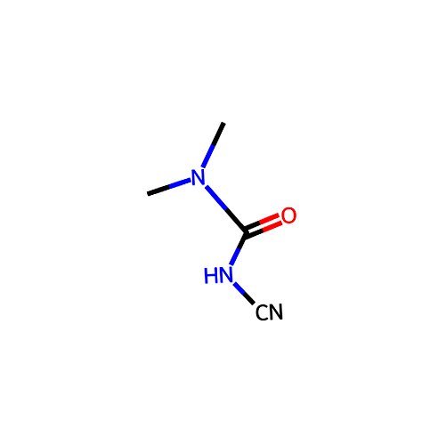 CN(C)C(=O)NC#N